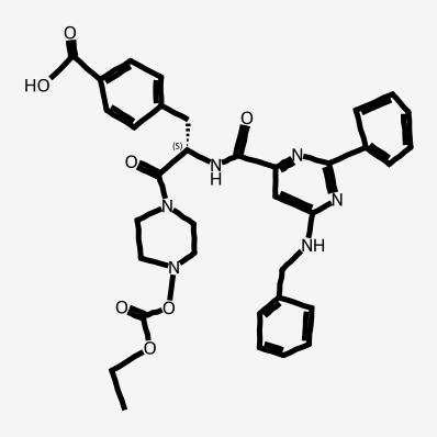 CCOC(=O)ON1CCN(C(=O)[C@H](Cc2ccc(C(=O)O)cc2)NC(=O)c2cc(NCc3ccccc3)nc(-c3ccccc3)n2)CC1